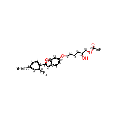 CCCCCc1ccc(-c2cc3ccc(OCCCCC(O)COC(=O)C(C)C)cc3o2)c(C(F)(F)F)c1